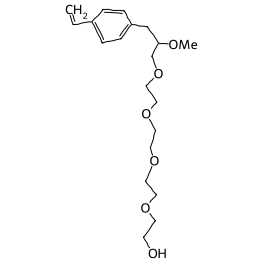 C=Cc1ccc(CC(COCCOCCOCCOCCO)OC)cc1